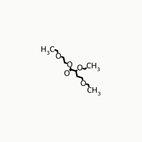 CCOCCOC(=O)C(CCOCC)OCC